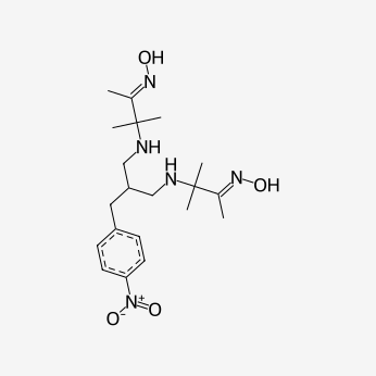 CC(=NO)C(C)(C)NCC(CNC(C)(C)C(C)=NO)Cc1ccc([N+](=O)[O-])cc1